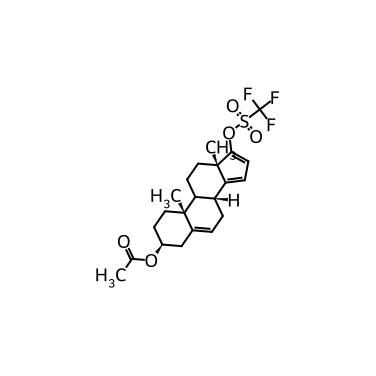 CC(=O)O[C@H]1CC[C@@]2(C)C(=CC[C@H]3C4=CC=C(OS(=O)(=O)C(F)(F)F)[C@@]4(C)CCC32)C1